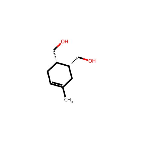 CC1=CC[C@H](CO)[C@H](CO)C1